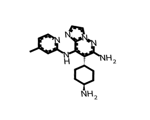 Cc1ccnc(Nc2c3nccn3nc(N)c2[C@H]2CC[C@H](N)CC2)c1